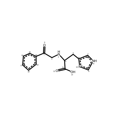 O=C(CNC(Cc1c[nH]cn1)C(=O)O)c1ccccc1